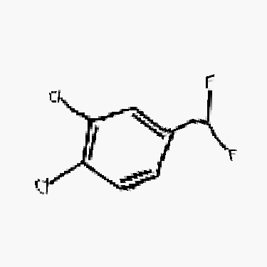 FC(F)c1ccc(Cl)c(Cl)c1